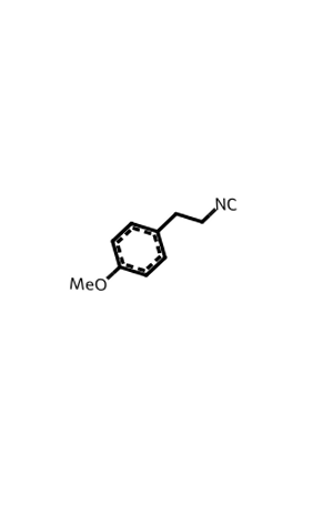 [C-]#[N+]CCc1ccc(OC)cc1